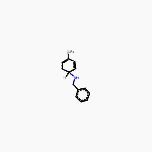 CCC1(NCc2ccccc2)C=CC(OC)=CC1